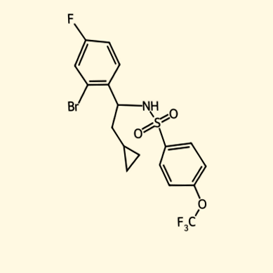 O=S(=O)(NC(CC1CC1)c1ccc(F)cc1Br)c1ccc(OC(F)(F)F)cc1